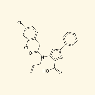 C=CCN(C(=O)Cc1ccc(Cl)cc1Cl)c1cc(-c2ccccc2)sc1C(=O)O